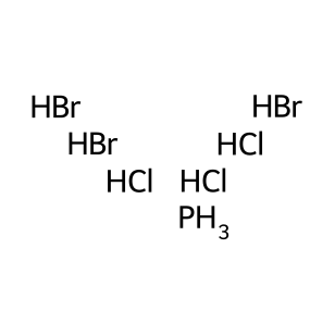 Br.Br.Br.Cl.Cl.Cl.P